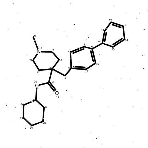 CN1CCC(Cc2ccc(-c3ccccc3)cc2)(C(=O)OC2CCCCC2)CC1